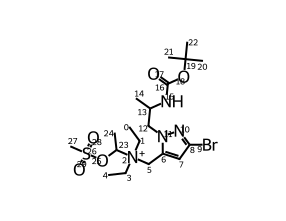 CC[N+](CC)(Cc1cc(Br)nn1CC(C)NC(=O)OC(C)(C)C)C(C)OS(C)(=O)=O